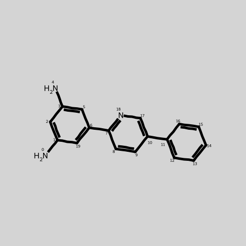 Nc1cc(N)cc(-c2ccc(-c3ccccc3)cn2)c1